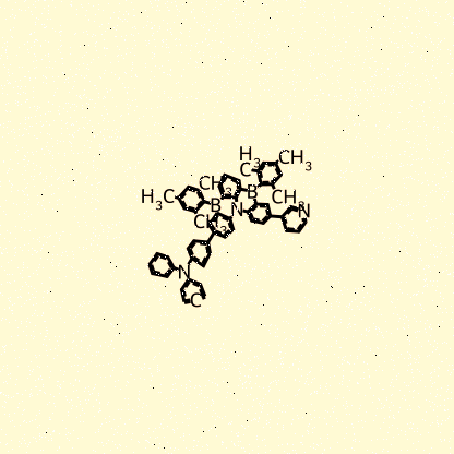 Cc1cc(C)c(B2c3cc(-c4ccc(N(c5ccccc5)c5ccccc5)cc4)ccc3N3c4ccc(-c5cccnc5)cc4B(c4c(C)cc(C)cc4C)c4cccc2c43)c(C)c1